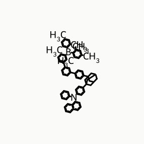 Cc1cc(C)c(B(c2cccc(-c3cccc(-c4ccc(C56CC7CC(C5)CC(c5ccc(N(c8ccccc8)c8cccc9ccccc89)cc5)(C7)C6)cc4)c3)c2)c2c(C)cc(C)cc2C)c(C)c1